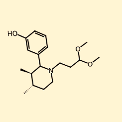 COC(CCN1CC[C@H](C)[C@@H](C)C1c1cccc(O)c1)OC